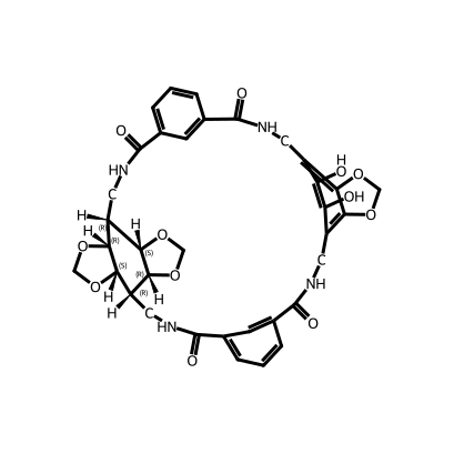 O=C1NCc2c(O)c(O)c(c3c2OCO3)CNC(=O)c2cccc(c2)C(=O)NC[C@H]2[C@H]3OCO[C@H]3[C@@H](CNC(=O)c3cccc1c3)[C@H]1OCO[C@@H]21